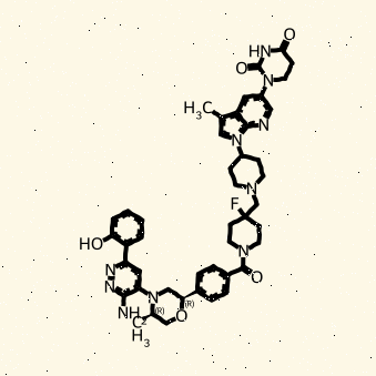 Cc1cn(C2CCN(CC3(F)CCN(C(=O)c4ccc([C@@H]5CN(c6cc(-c7ccccc7O)nnc6N)[C@H](C)CO5)cc4)CC3)CC2)c2ncc(N3CCC(=O)NC3=O)cc12